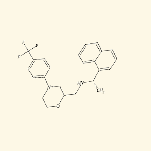 C[C@H](NCC1CN(c2ccc(C(F)(F)F)cc2)CCO1)c1cccc2ccccc12